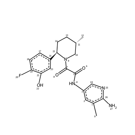 Cc1cc(NC(=O)C(=O)N2C[C@@H](C)CC[C@@H]2c2ccc(F)c(O)c2)cnc1N